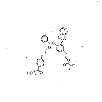 C=C(C)C(=O)OCCc1ccc(OC(OCCOc2ccc(C(=O)C(C)(C)O)cc2)c2cc#ccc2)c(-n2nc3ccccc3n2)c1